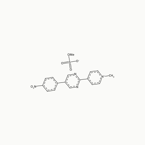 COS(=O)(=O)[O-].C[n+]1ccc(-c2ncc(-c3ccc([N+](=O)[O-])cc3)cn2)cc1